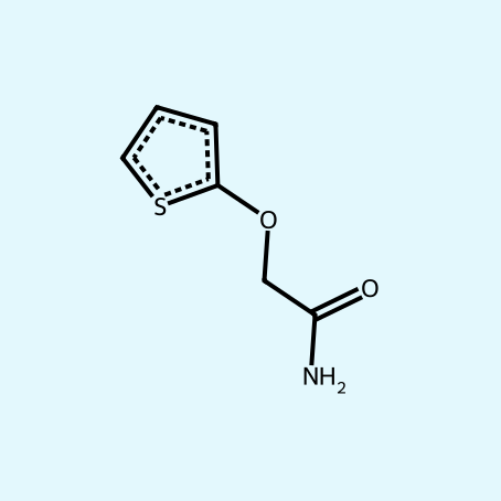 NC(=O)COc1cccs1